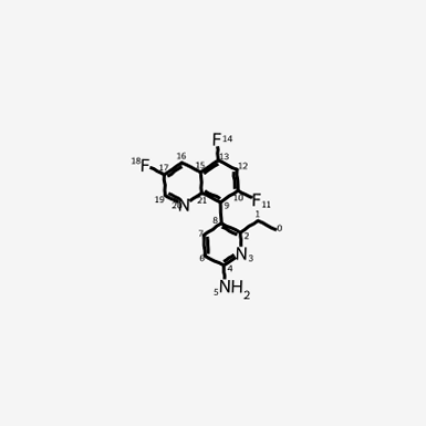 CCc1nc(N)ccc1-c1c(F)cc(F)c2cc(F)cnc12